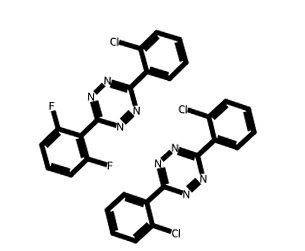 Clc1ccccc1-c1nnc(-c2ccccc2Cl)nn1.Fc1cccc(F)c1-c1nnc(-c2ccccc2Cl)nn1